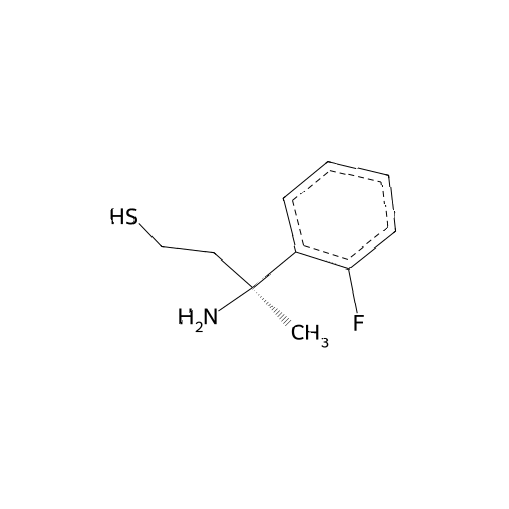 C[C@](N)(CCS)c1ccccc1F